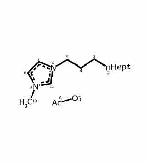 CC(=O)[O-].CCCCCCCCCCn1cc[n+](C)c1